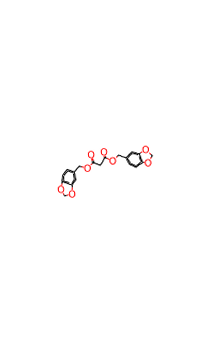 O=C(CC(=O)OCc1ccc2c(c1)OCO2)OCc1ccc2c(c1)OCO2